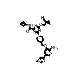 Cn1cnc(-c2cnc(N)c(OCC3CCN(c4nc(OCC5(C#N)CC5)nc(C(=O)NC5=C=CC5)n4)CC3)c2)c1